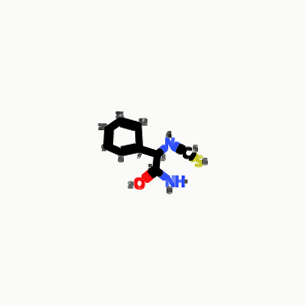 [NH]C(=O)C(N=C=S)c1ccccc1